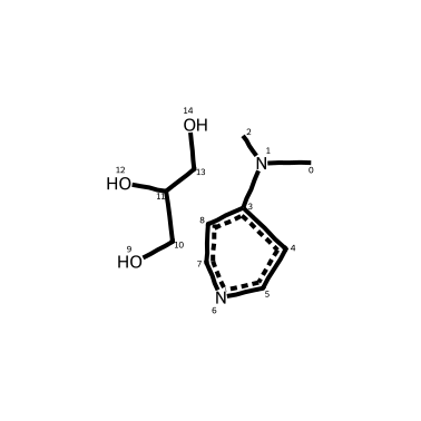 CN(C)c1ccncc1.OCC(O)CO